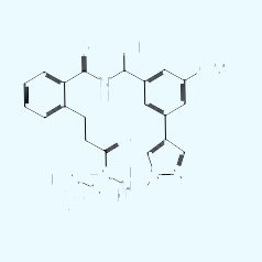 COc1cc(-c2cnn(C)c2)cc(C(C)NC(=O)c2ccccc2CCC(=O)NN)c1.NN.O